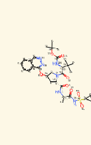 C[C@@H](NC(=O)[C@@H]1C[C@@H](Oc2nncc3ccccc23)CN1C(=O)[C@@H](NC(=O)OC(C)(C)C)C(C)(C)C)C(=O)NS(=O)(=O)C1CC1